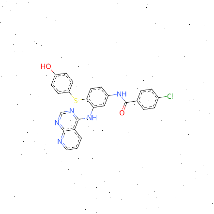 O=C(Nc1ccc(Sc2ccc(O)cc2)c(Nc2ncnc3ncccc23)c1)c1ccc(Cl)cc1